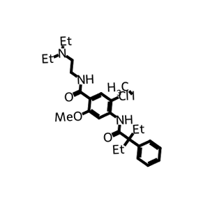 CCN(CC)CCNC(=O)c1cc(Cl)c(NC(=O)C(CC)(CC)c2ccccc2)cc1OC.CI